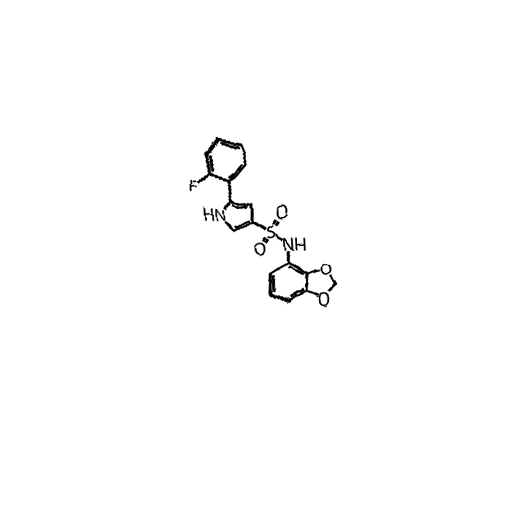 O=S(=O)(Nc1cccc2c1OCO2)c1c[nH]c(-c2ccccc2F)c1